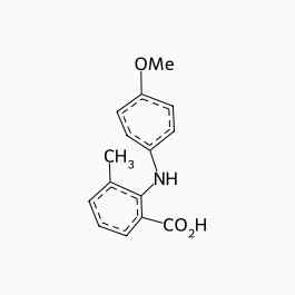 COc1ccc(Nc2c(C)cccc2C(=O)O)cc1